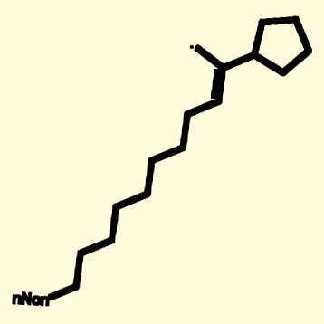 [CH2]C(=CCCCCCCCCCCCCCCCCC)C1CCCC1